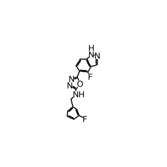 Fc1cccc(CNc2nnc(-c3ccc4[nH]ncc4c3F)o2)c1